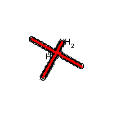 COCCOCCOCCOCCOCCOCCOCCOCCOCCOCCOCCNC(=O)CCCCC(COCCC(=O)NCCOCCOCCOCCOCCOCCOCCOCCOCCOCCOCCOC)(COCCC(=O)NCCOCCOCCOCCOCCOCCOCCOCCOCCOCCOCCOC)NC(=O)CCOCCOCCOCCOCCN